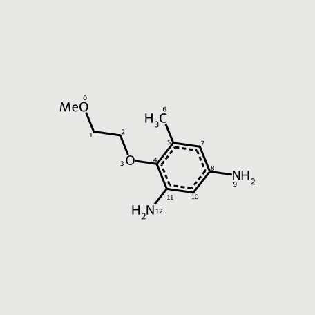 COCCOc1c(C)cc(N)cc1N